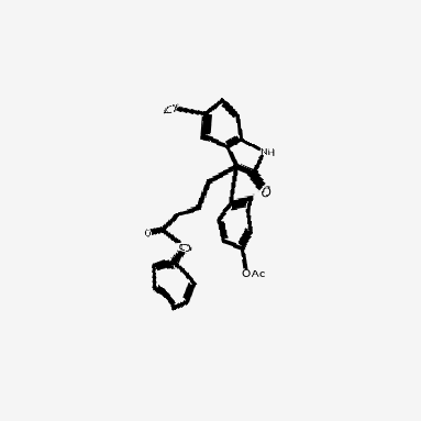 CC(=O)Oc1ccc(C2(CCCC(=O)Oc3ccccc3)C(=O)Nc3ccc(Cl)cc32)cc1